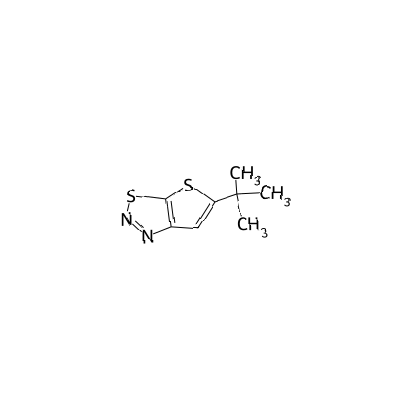 CC(C)(C)c1cc2nnsc2s1